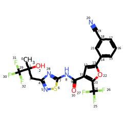 CC(O)(Cc1nsc(NC(=O)c2cc(-c3cccc(C#N)c3)oc2C(F)(F)F)n1)C(F)(F)F